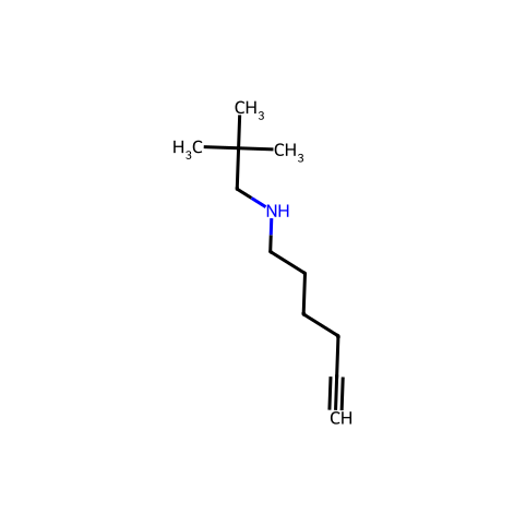 C#CCCCCNCC(C)(C)C